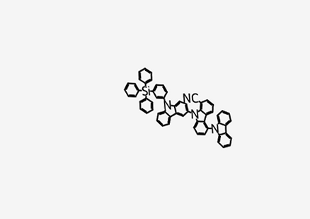 N#Cc1cccc2c3c(-n4c5ccccc5c5ccccc54)cccc3n(-c3ccc4c(c3)c3ccccc3n4-c3cccc([Si](c4ccccc4)(c4ccccc4)c4ccccc4)c3)c12